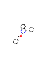 c1ccc(COc2nc(-c3ccccc3)c3ccccc3n2)cc1